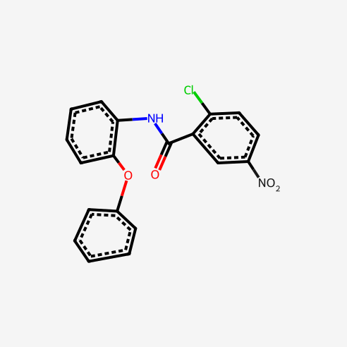 O=C(Nc1ccccc1Oc1ccccc1)c1cc([N+](=O)[O-])ccc1Cl